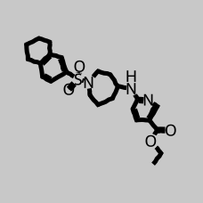 CCOC(=O)c1ccc(NC2CCCN(S(=O)(=O)c3ccc4c(c3)CCCC4)CC2)nc1